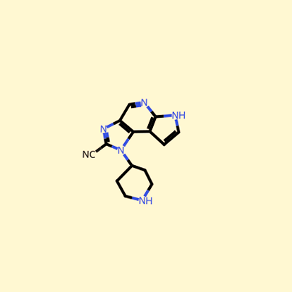 N#Cc1nc2cnc3[nH]ccc3c2n1C1CCNCC1